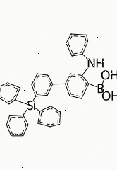 OB(O)c1ccc(-c2cccc([Si](c3ccccc3)(c3ccccc3)c3ccccc3)c2)cc1Nc1ccccc1